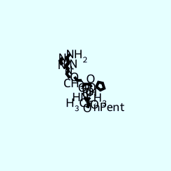 CCCCCOC(=O)C(C)(C)N[PH](=O)O[C@@H](CCO[C@H](C)Cn1cnc2c(N)ncnc21)C(=O)OC1CCCC1